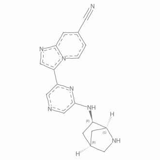 N#Cc1ccn2c(-c3cncc(N[C@@H]4C[C@@H]5CN[C@H]4C5)n3)cnc2c1